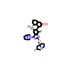 Cc1cccc2cc(O)cc(-c3c(Cl)cc4c(N5CC6CCC(C5)N6)nc(OC[C@@]56CCCN5C[C@H](F)C6)nc4c3F)c12